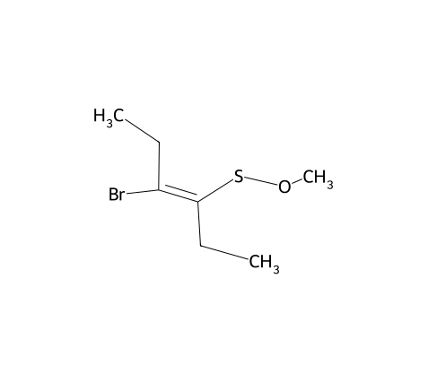 CC/C(Br)=C(/CC)SOC